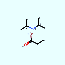 CC(C)NC(C)C.CCC(=O)Br